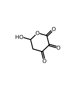 O=C1CC(O)OC(=O)C1=O